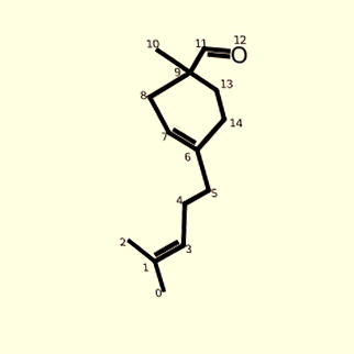 CC(C)=CCCC1=CCC(C)(C=O)CC1